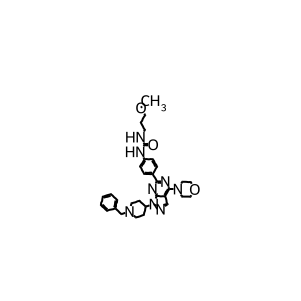 COCCCNC(=O)Nc1ccc(-c2nc(N3CCOCC3)c3cnn(C4CCN(Cc5ccccc5)CC4)c3n2)cc1